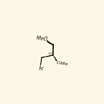 COC[C@H](CC(C)=O)OC